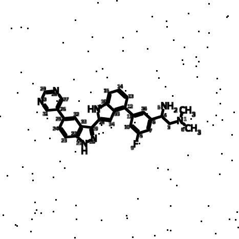 CN(C)CC(N)c1cc(F)cc(-c2cccc3[nH]c(-c4n[nH]c5ccc(-c6cncnc6)cc45)cc23)c1